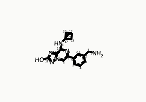 NCc1cccc(-c2cn3nc(O)nc3c(NC34CC(C3)C4)n2)c1